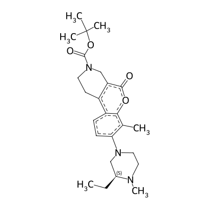 CC[C@H]1CN(c2ccc3c4c(c(=O)oc3c2C)CN(C(=O)OC(C)(C)C)CC4)CCN1C